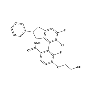 CNC(=O)c1ccc(OCCO)c(F)c1-c1c(Cl)c(F)cc2c1CC(c1ccccc1)C2